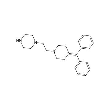 c1ccc(C(=C2CCN(CCN3CCNCC3)CC2)c2ccccc2)cc1